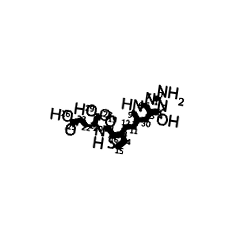 Nc1nc(O)c2c(n1)NCC(CCc1ccsc1C(=O)N[C@@H](CCC(=O)O)C(=O)O)C2